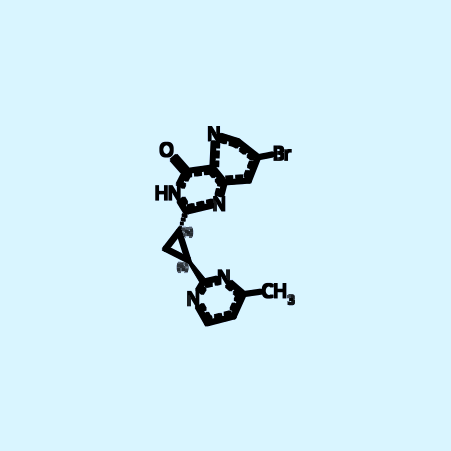 Cc1ccnc([C@H]2C[C@@H]2c2nc3cc(Br)cnc3c(=O)[nH]2)n1